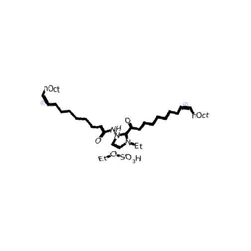 CCCCCCCC/C=C\CCCCCCCC(=O)NN1CCN(CC)C1C(=O)CCCCCCC/C=C\CCCCCCCC.CCOS(=O)(=O)O